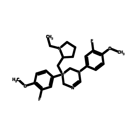 CCN1CCCC1C[N+]1(c2ccc(OC)c(F)c2)CN=CN(c2ccc(OC)c(F)c2)C1